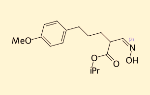 COc1ccc(CCCC(/C=N\O)C(=O)OC(C)C)cc1